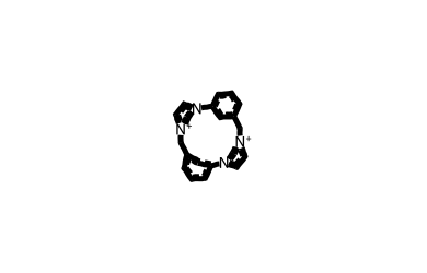 c1cc2cc(c1)-n1cc[n+](c1)Cc1cccc(c1)-n1cc[n+](c1)C2